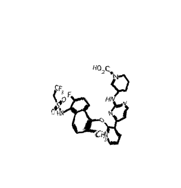 Cc1ccc2c(NS(=O)(=O)CC(F)(F)F)c(F)ccc2c1Oc1ncccc1-c1ccnc(NC2CCCN(C(=O)O)C2)n1